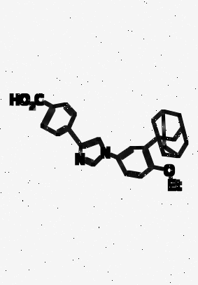 CCOc1ccc(-n2cnc(-c3ccc(C(=O)O)cc3)c2)cc1C12CC3CC(CC(C3)C1)C2